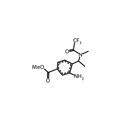 COC(=O)c1ccc(C(C)N(C)C(=O)C(F)(F)F)c(N)c1